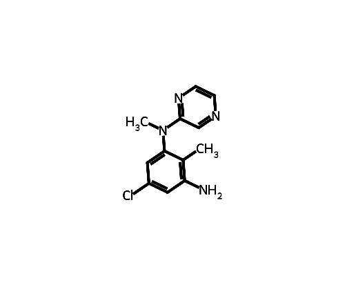 Cc1c(N)cc(Cl)cc1N(C)c1cnccn1